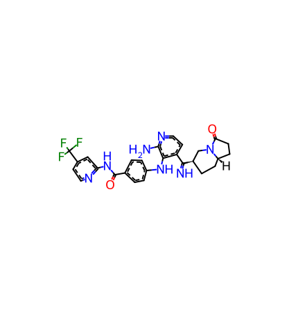 N=C(c1ccnc(N)c1Nc1ccc(C(=O)Nc2cc(C(F)(F)F)ccn2)cc1)[C@@H]1CC[C@H]2CCC(=O)N2C1